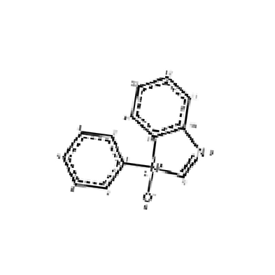 [O-][N+]1(c2ccccc2)C=Nc2c[c]ccc21